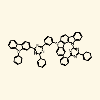 C1=CCCC(c2nc(-c3ccccc3)nc(-n3c4ccccc4c4ccc5c(c6ccccc6n5-c5cccc(-c6nc(-c7ccc8c9ccccc9n(-c9ccccc9)c8c7)nc(C7C=CC=CC7)n6)c5)c43)n2)=C1